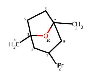 CC(C)C1CC2(C)CCC(C)(C1)O2